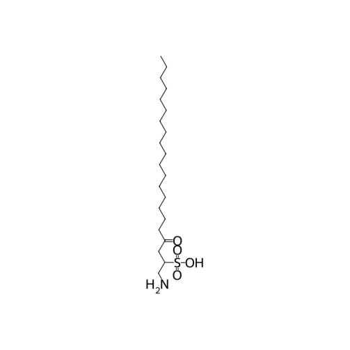 CCCCCCCCCCCCCCCCCC(=O)CC(CN)S(=O)(=O)O